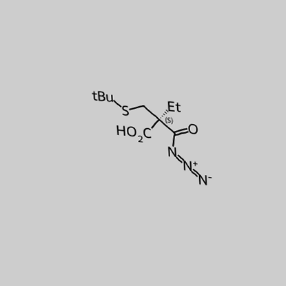 CC[C@@](CSC(C)(C)C)(C(=O)O)C(=O)N=[N+]=[N-]